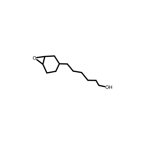 OCCCCCCC1CCC2OC2C1